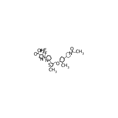 CCC(=O)N1CCC(c2ccc(OCc3cc(C)sc3-c3cccc(-n4ncc(C(=O)O)c4C(F)(F)F)n3)c(C)c2)CC1